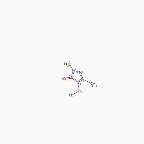 CCOn1c(C)nn(C)c1=O